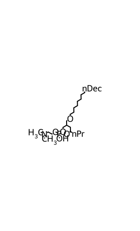 CCCCCCCCCCCCCCCCCCOCC(COP(O)OCCN(C)C)CC(=O)CCC